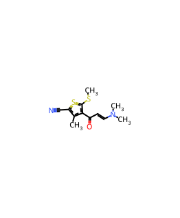 CSc1sc(C#N)c(C)c1C(=O)/C=C/N(C)C